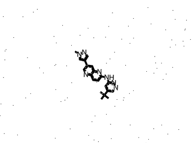 Cn1cc(-c2cnc3ccc(Nc4cc(C(C)(C)C)cnn4)nc3c2)cn1